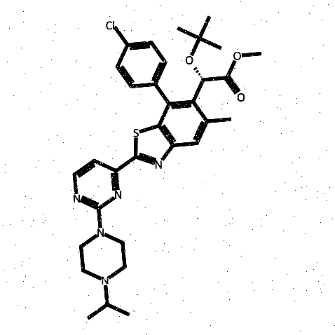 COC(=O)[C@@H](OC(C)(C)C)c1c(C)cc2nc(-c3ccnc(N4CCN(C(C)C)CC4)n3)sc2c1-c1ccc(Cl)cc1